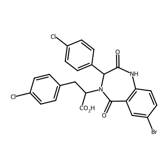 O=C(O)C(Cc1ccc(Cl)cc1)N1C(=O)c2cc(Br)ccc2NC(=O)C1c1ccc(Cl)cc1